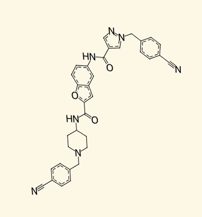 N#Cc1ccc(CN2CCC(NC(=O)c3cc4cc(NC(=O)c5cnn(Cc6ccc(C#N)cc6)c5)ccc4o3)CC2)cc1